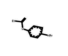 C=C(CC)Oc1ccc(CCCC)cc1